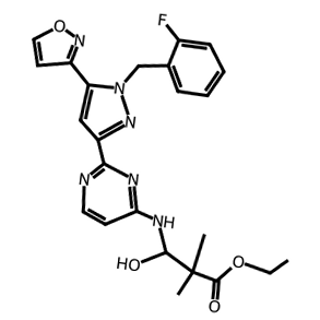 CCOC(=O)C(C)(C)C(O)Nc1ccnc(-c2cc(-c3ccon3)n(Cc3ccccc3F)n2)n1